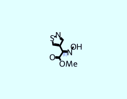 COC(=O)/C(=N/O)c1cnsc1